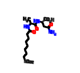 CCCCCCCCCCCCCCCCCC(=O)N[C@@H](C)C(=O)N[C@@H](CC(N)=O)C(=O)O